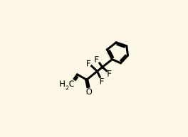 C=CC(=O)C(F)(F)C(F)(F)c1ccccc1